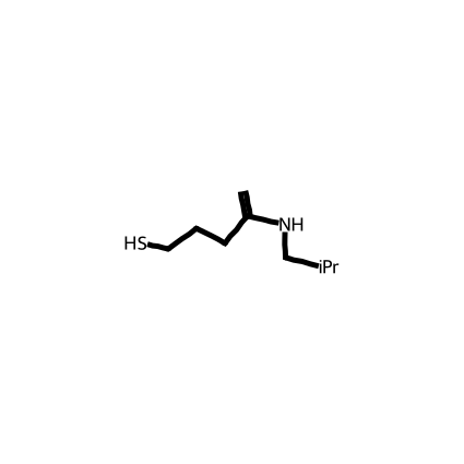 C=C(CCCS)NCC(C)C